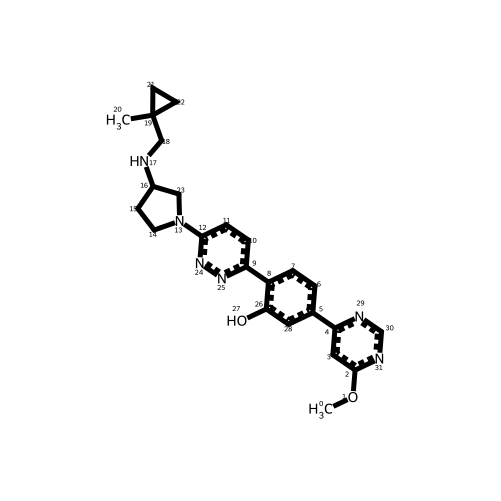 COc1cc(-c2ccc(-c3ccc(N4CCC(NCC5(C)CC5)C4)nn3)c(O)c2)ncn1